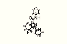 O=C(NC1CCOCC1)c1nn(-c2cnccn2)c2c1CCCC2(F)F